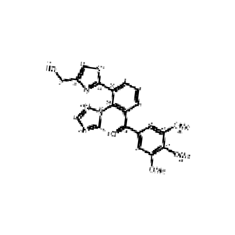 COc1cc(C(=O)c2cccc(-c3nc(CO)cs3)c2-n2cncn2)cc(OC)c1OC